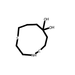 OC1(O)CCCCCCNCCC1